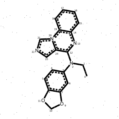 CCN(c1ccc2c(c1)OCO2)c1nc2ccccc2n2cncc12